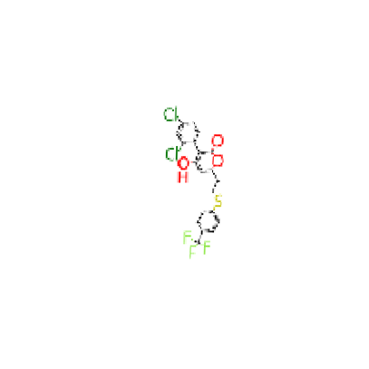 O=c1oc(CCSc2ccc(C(F)(F)F)cc2)cc(O)c1-c1ccc(Cl)cc1Cl